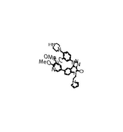 COc1cc(-c2ccc3c(c2)c2c(nnn2-c2ccc(N4CCNCC4)c(C(F)(F)F)c2)c(=O)n3CCn2cccc2)cnc1OC